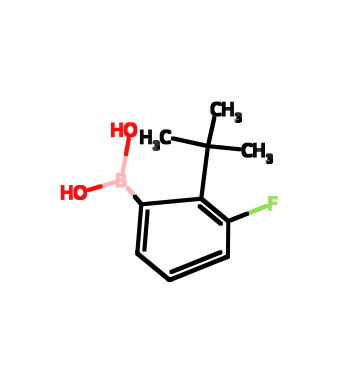 CC(C)(C)c1c(F)cccc1B(O)O